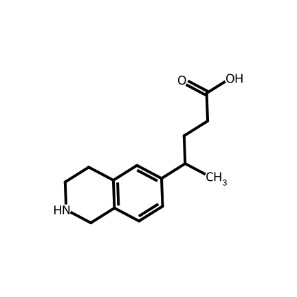 CC(CCC(=O)O)c1ccc2c(c1)CCNC2